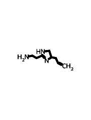 C=CCC1CNC(CCN)=N1